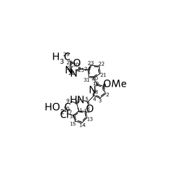 COc1ccc(C(=O)NC(CC(=O)O)c2ccccc2Cl)nc1-c1cccc(-c2nnc(C)o2)c1